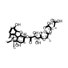 Cc1ccc(O)c2c1[C@]13CCN(C)[C@H](C)[C@]1(O)CC=C(OC(=O)[C@H](O)[C@@H](O)C(=O)O[C@@H](C)C(=O)O[C@@H](CC(=O)O)C(=O)O)[C@@H]3O2